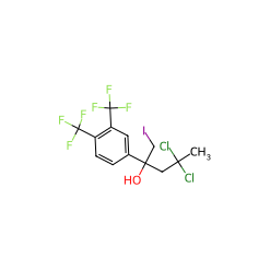 CC(Cl)(Cl)CC(O)(CI)c1ccc(C(F)(F)F)c(C(F)(F)F)c1